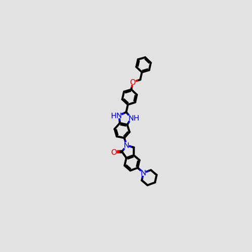 O=C1c2ccc(N3CCCCC3)cc2CN1c1ccc2c(c1)NC(c1ccc(OCc3ccccc3)cc1)N2